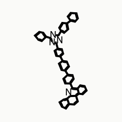 c1ccc(-c2ccc(-c3nc(-c4ccccc4)nc(-c4ccc(-c5ccc(-c6ccc(-c7nc8c9ccccc9ccc8c8ccccc78)cc6)cc5)cc4)n3)cc2)cc1